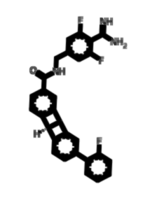 N=C(N)c1c(F)cc(CNC(=O)c2ccc3c(c2)C2c4cc(-c5ccccc5F)ccc4[C@@H]32)cc1F